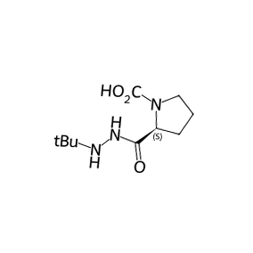 CC(C)(C)NNC(=O)[C@@H]1CCCN1C(=O)O